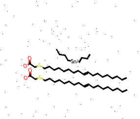 CCCCCCCCC=CCCCCCCCCSCC(=O)[O-].CCCCCCCCC=CCCCCCCCCSCC(=O)[O-].CCC[CH2][Sn+2][CH2]CCC